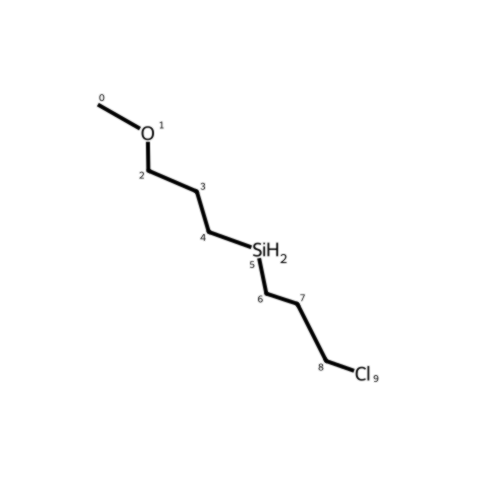 COCCC[SiH2]CCCCl